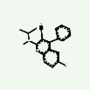 CC(C)N(C)c1nc2ccc(Cl)cc2c(-c2ccccc2)c1C#N